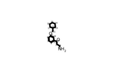 NCCC(=O)c1cccc(OCC2CCCCC2)c1